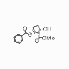 COC(=O)[C@@H]1[C@@H](O)CCN1OC(=O)c1ccccc1